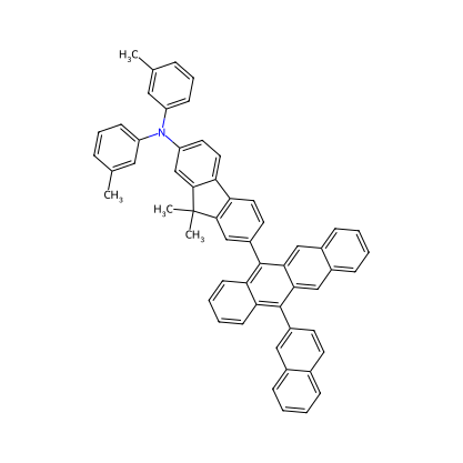 Cc1cccc(N(c2cccc(C)c2)c2ccc3c(c2)C(C)(C)c2cc(-c4c5ccccc5c(-c5ccc6ccccc6c5)c5cc6ccccc6cc45)ccc2-3)c1